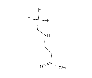 O=C(O)CCNCC(F)(F)F